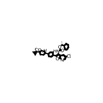 C[C@@H](OC(=O)Nc1c(-c2ccc(-c3ccc(C4(C(=O)O)CC4)cc3)cc2)oc2ncc(Cl)cc12)c1ccccc1